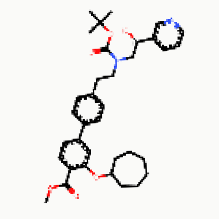 COC(=O)c1ccc(-c2ccc(CCN(C[C@@H](O)c3cccnc3)C(=O)OC(C)(C)C)cc2)cc1OC1CCCCCC1